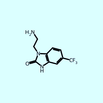 NCCn1c(=O)[nH]c2cc(C(F)(F)F)ccc21